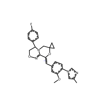 COc1cc(/C=C2\OC3(CC3)CN3C2=NOCC3c2ccc(F)cc2)ccc1-n1cnc(C)c1